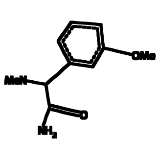 CNC(C(N)=O)c1cccc(OC)c1